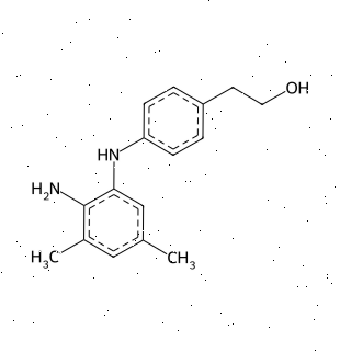 Cc1cc(C)c(N)c(Nc2ccc(CCO)cc2)c1